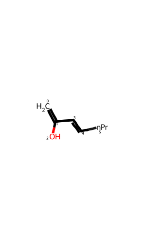 C=C(O)C=CCCC